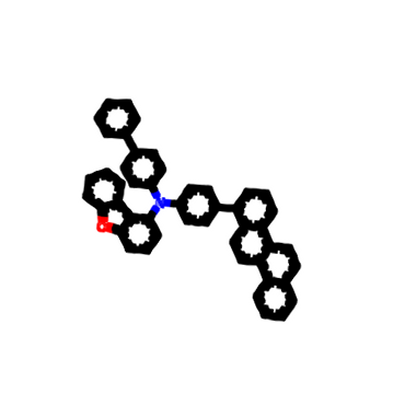 c1ccc(-c2ccc(N(c3ccc(-c4cccc5c4ccc4c6ccccc6ccc54)cc3)c3cccc4oc5ccccc5c34)cc2)cc1